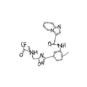 Cc1ccc(-c2noc(CNC(=O)C(F)(F)F)n2)cc1NC(=O)c1cnc2ccccn12